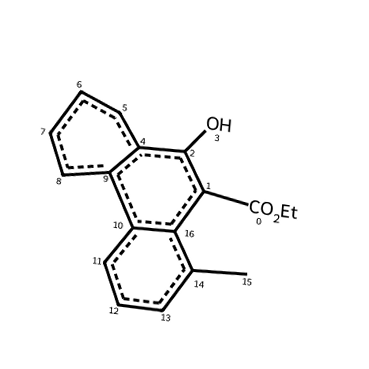 CCOC(=O)c1c(O)c2ccccc2c2cccc(C)c12